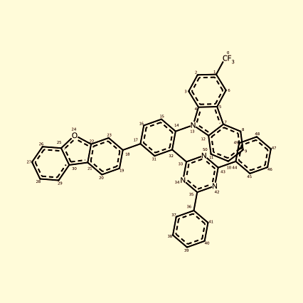 FC(F)(F)c1ccc2c(c1)c1ccccc1n2-c1ccc(-c2ccc3c(c2)oc2ccccc23)cc1-c1nc(-c2ccccc2)nc(-c2ccccc2)n1